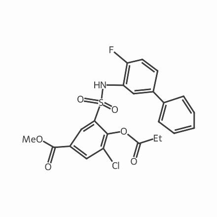 CCC(=O)Oc1c(Cl)cc(C(=O)OC)cc1S(=O)(=O)Nc1cc(-c2ccccc2)ccc1F